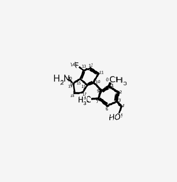 Cc1cc(CO)cc(C)c1-c1ccc(F)c2c1CC[C@H]2N